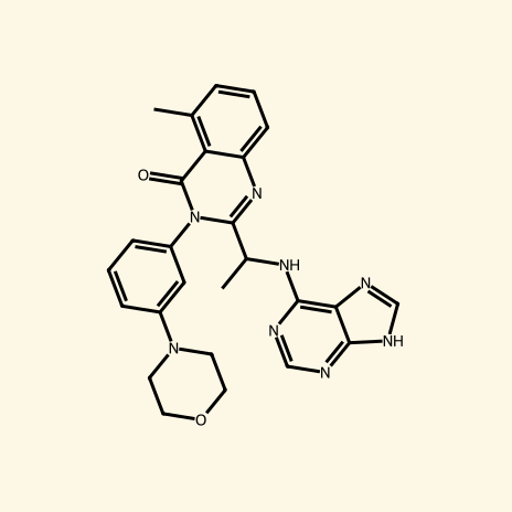 Cc1cccc2nc(C(C)Nc3ncnc4[nH]cnc34)n(-c3cccc(N4CCOCC4)c3)c(=O)c12